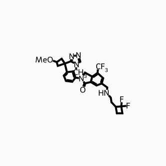 COC1CC(c2cccc(N3Cc4c(cc(CNCCC5CCC5(F)F)cc4C(F)(F)F)C3=O)c2)(c2nncn2C)C1